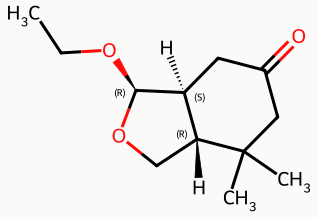 CCO[C@@H]1OC[C@@H]2[C@@H]1CC(=O)CC2(C)C